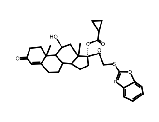 CC12CCC(=O)C=C1CCC1C2[C@@H](O)CC2(C)C1CC[C@]2(OC(=O)C1CC1)C(=O)CSc1nc2ccccc2o1